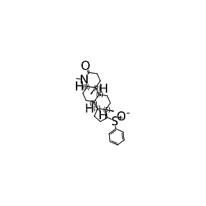 CN1C(=O)CC[C@]2(C)[C@H]3CC[C@]4(C)C([S+]([O-])c5ccccc5)CC[C@H]4[C@@H]3CC[C@@H]12